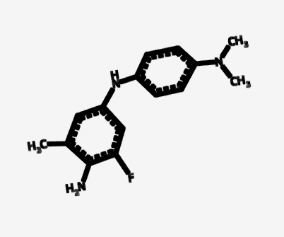 Cc1cc(Nc2ccc(N(C)C)cc2)cc(F)c1N